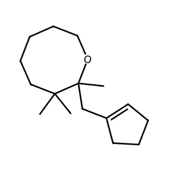 CC1(C)CCCCCOC1(C)CC1=CCCC1